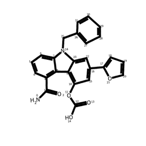 NC(=O)c1cccc2c1c1c(OC(=O)O)cc(-c3ccco3)cc1n2Cc1ccccc1